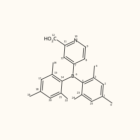 Cc1cc(C)c(B(c2ccnc(C(=O)O)c2)c2c(C)cc(C)cc2C)c(C)c1